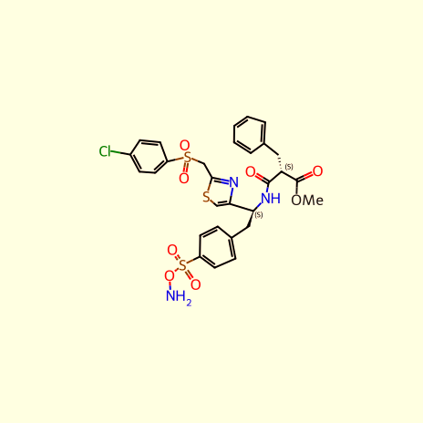 COC(=O)[C@@H](Cc1ccccc1)C(=O)N[C@@H](Cc1ccc(S(=O)(=O)ON)cc1)c1csc(CS(=O)(=O)c2ccc(Cl)cc2)n1